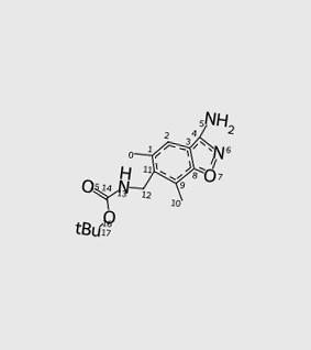 Cc1cc2c(N)noc2c(C)c1CNC(=O)OC(C)(C)C